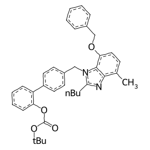 CCCCc1nc2c(C)ccc(OCc3ccccc3)c2n1Cc1ccc(-c2ccccc2OC(=O)OC(C)(C)C)cc1